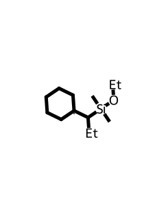 CCO[Si](C)(C)C(CC)[C]1CCCCC1